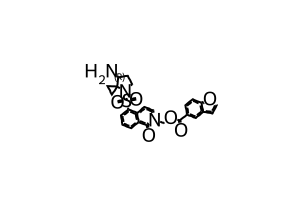 N[C@@H]1CCN(S(=O)(=O)c2cccc3c(=O)n(COC(=O)c4ccc5occc5c4)ccc23)C12CC2